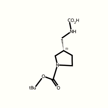 CC(C)(C)OC(=O)N1CC[C@@H](CNC(=O)O)C1